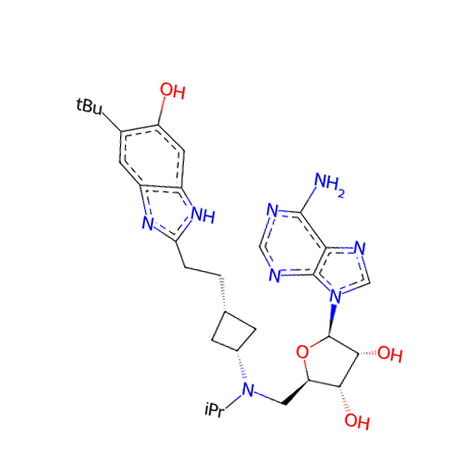 CC(C)N(C[C@H]1O[C@@H](n2cnc3c(N)ncnc32)[C@H](O)[C@@H]1O)[C@H]1C[C@@H](CCc2nc3cc(C(C)(C)C)c(O)cc3[nH]2)C1